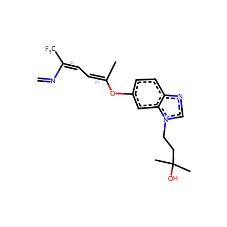 C=N/C(=C\C=C(/C)Oc1ccc2ncn(CCC(C)(C)O)c2c1)C(F)(F)F